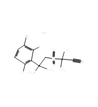 CC(N)(CS(=O)(=O)C(C)(C)C#N)c1c(F)ccc(Br)c1F.Cl